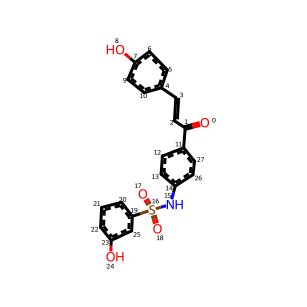 O=C(C=Cc1ccc(O)cc1)c1ccc(NS(=O)(=O)c2cccc(O)c2)cc1